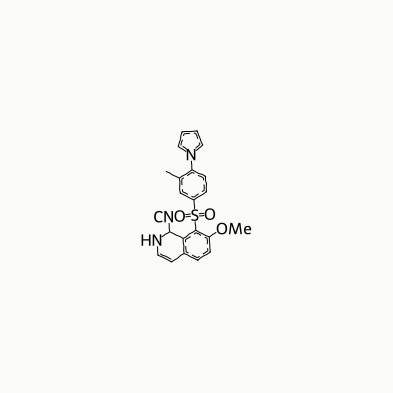 COc1ccc2c(c1S(=O)(=O)c1ccc(-n3cccc3)c(C)c1)C(C#N)NC=C2